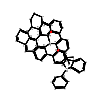 CC(C)(C)c1ccc(-c2ccccc2)c(N(c2ccccc2-c2ccc3c4ccccc4n(-c4ccccc4)c3c2)c2ccccc2-c2cccc3cccc(C4CCCCC4)c23)c1